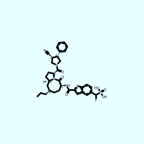 CCC[C@@H]1CC[C@H](NC(=O)c2cc3cc(C(F)P(=O)(O)O)ccc3s2)C(=O)N2[C@H](CC[C@H]2C(=O)N2C[C@@H](C#N)[C@H](c3ccccc3)C2)C1